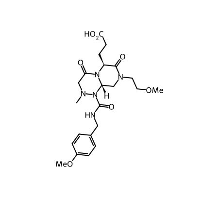 COCCN1C[C@H]2N(C(=O)CN(C)N2C(=O)NCc2ccc(OC)cc2)[C@@H](CCC(=O)O)C1=O